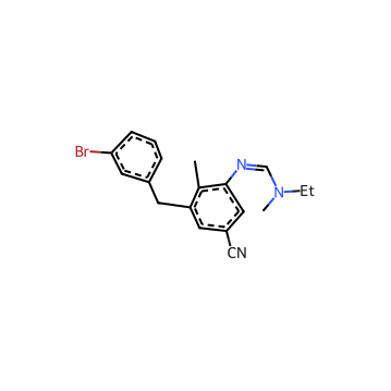 CCN(C)/C=N\c1cc(C#N)cc(Cc2cccc(Br)c2)c1C